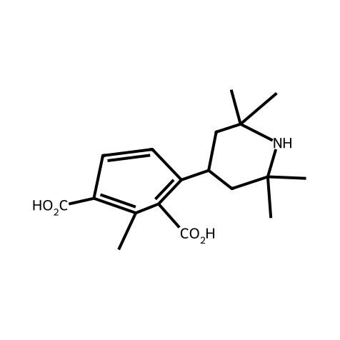 Cc1c(C(=O)O)ccc(C2CC(C)(C)NC(C)(C)C2)c1C(=O)O